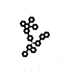 c1ccc(-c2ccc(N(c3ccc(-c4ccc5c(c4)c(-c4ccccc4)c(-c4ccccc4)c4ccccc45)cc3)c3cccc(-c4ccc5ccccc5c4)c3)c3ccccc23)cc1